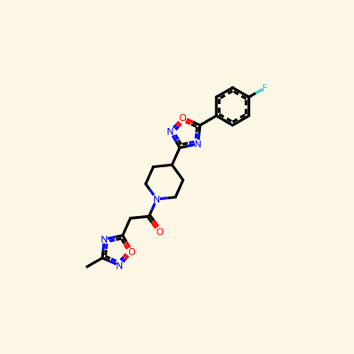 Cc1noc(CC(=O)N2CCC(c3noc(-c4ccc(F)cc4)n3)CC2)n1